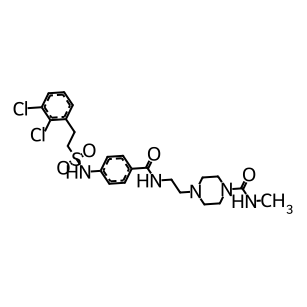 CNC(=O)N1CCN(CCNC(=O)c2ccc(NS(=O)(=O)CCc3cccc(Cl)c3Cl)cc2)CC1